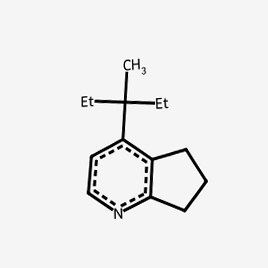 CCC(C)(CC)c1ccnc2c1CCC2